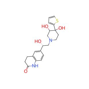 O=C1CCc2cc([C@H](O)CN3CCC(O)(c4cccs4)C(O)C3)ccc2N1